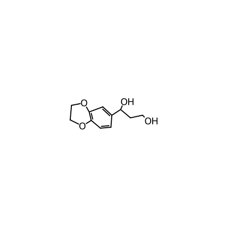 OCCC(O)c1ccc2c(c1)OCCO2